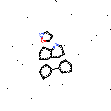 c1ccc(-c2ccccc2)cc1.c1ccc2ncccc2c1.c1cnoc1